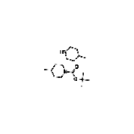 CC1CCN(C(=O)OC(C)(C)C)CC1.CC1CCNCC1